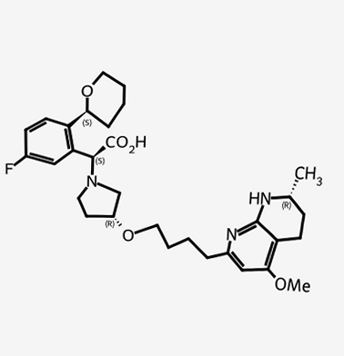 COc1cc(CCCCO[C@@H]2CCN([C@H](C(=O)O)c3cc(F)ccc3[C@@H]3CCCCO3)C2)nc2c1CC[C@@H](C)N2